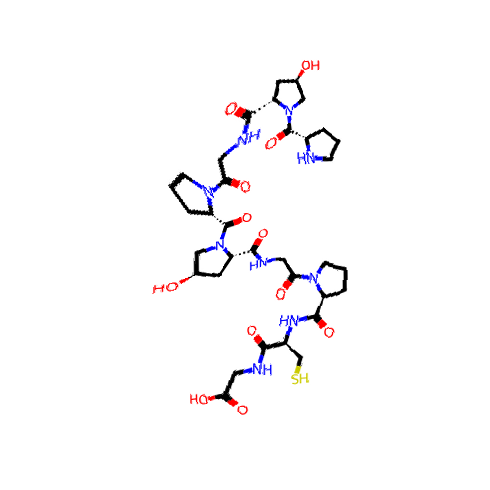 O=C(O)CNC(=O)[C@H](CS)NC(=O)[C@@H]1CCCN1C(=O)CNC(=O)[C@@H]1C[C@@H](O)CN1C(=O)[C@@H]1CCCN1C(=O)CNC(=O)[C@@H]1C[C@@H](O)CN1C(=O)[C@@H]1CCCN1